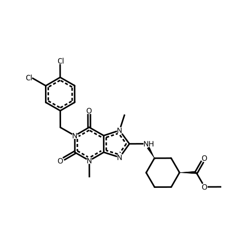 COC(=O)[C@H]1CCC[C@@H](Nc2nc3c(c(=O)n(Cc4ccc(Cl)c(Cl)c4)c(=O)n3C)n2C)C1